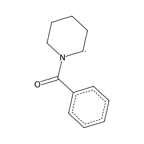 O=C(c1ccccc1)N1[CH]CCCC1